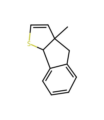 CC12C=CSC1c1ccccc1C2